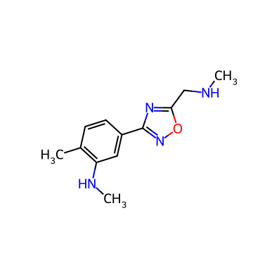 CNCc1nc(-c2ccc(C)c(NC)c2)no1